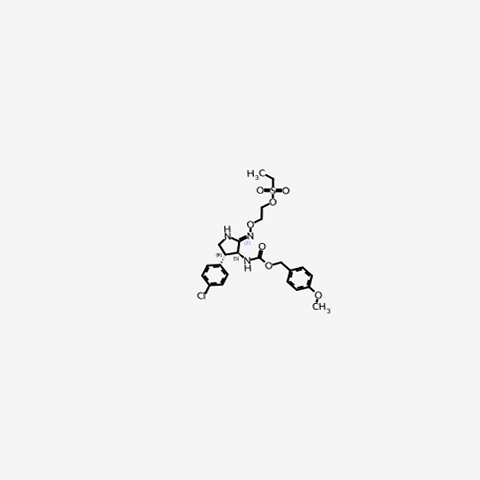 CCS(=O)(=O)OCCO/N=C1\NC[C@@H](c2ccc(Cl)cc2)[C@@H]1NC(=O)OCc1ccc(OC)cc1